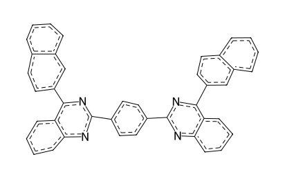 c1ccc2cc(-c3nc(-c4ccc(-c5nc(-c6ccc7ccccc7c6)c6ccccc6n5)cc4)nc4ccccc34)ccc2c1